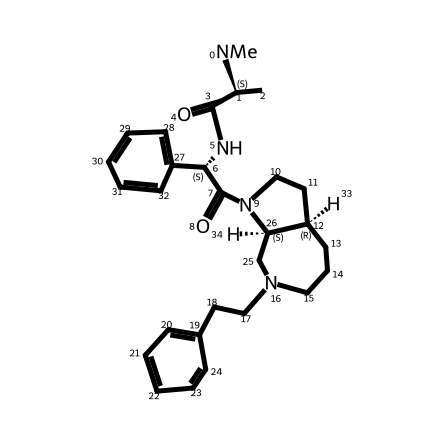 CN[C@@H](C)C(=O)N[C@H](C(=O)N1CC[C@H]2CCCN(CCc3ccccc3)C[C@H]21)c1ccccc1